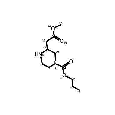 CCCOC(=O)N1CCNC(CC(=O)OC)C1